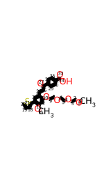 COCCOCCOCCOc1cc(OC)c(-c2cccs2)cc1C=CC(=O)c1ccc(C(=O)O)cc1